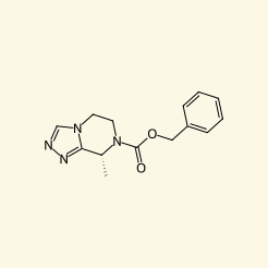 C[C@@H]1c2nncn2CCN1C(=O)OCc1ccccc1